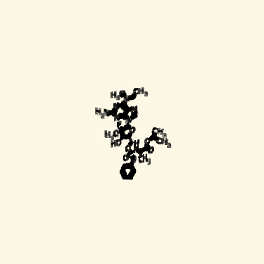 CCN(C)c1nc(N)nc2c1ncn2[C@@H]1O[C@H](CO[P@](=O)(N[C@@H](C)C(=O)OC(C)C)Oc2ccccc2)[C@@H](O)[C@@]1(C)F